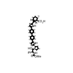 COC(=O)N[C@@H](C(C)C)C(O)N1CCC[C@H]1c1ncc(-c2ccc(-c3ccc(-c4cnc(C5[C@H]6[C@H](C(=O)O)[C@@H](C)CC[C@@H]56)[nH]4)cc3)cc2)[nH]1